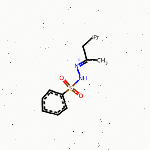 C/C(CC(C)C)=N\NS(=O)(=O)c1ccccc1